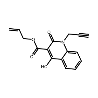 C#CCn1c(=O)c(C(=O)OCC=C)c(O)c2ccccc21